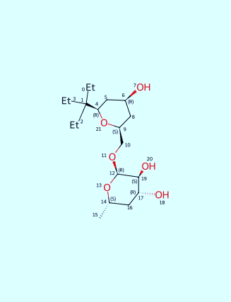 CCC(CC)(CC)[C@H]1C[C@@H](O)C[C@@H](CO[C@@H]2O[C@@H](C)C[C@@H](O)[C@@H]2O)O1